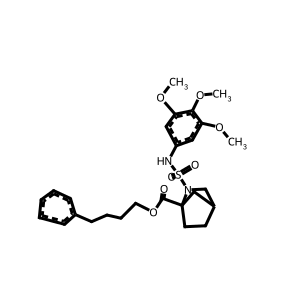 COc1cc(NS(=O)(=O)N2CC3CCC2(C(=O)OCCCCc2ccccc2)C3)cc(OC)c1OC